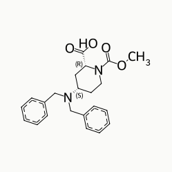 COC(=O)N1CC[C@H](N(Cc2ccccc2)Cc2ccccc2)C[C@@H]1C(=O)O